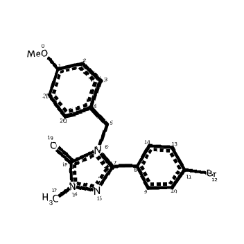 COc1ccc(Cn2c(-c3ccc(Br)cc3)nn(C)c2=O)cc1